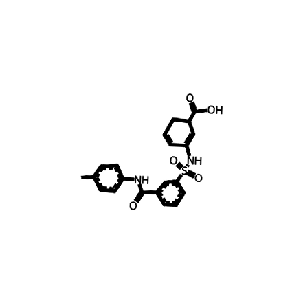 Cc1ccc(NC(=O)c2cccc(S(=O)(=O)NC3=CC(C(=O)O)CC=C3)c2)cc1